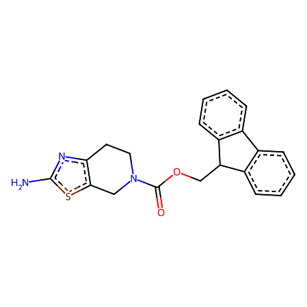 Nc1nc2c(s1)CN(C(=O)OCC1c3ccccc3-c3ccccc31)CC2